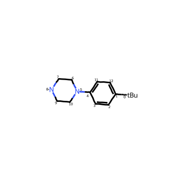 CC(C)(C)c1ccc(N2CC[N]CC2)cc1